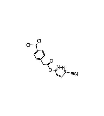 N#Cc1ccc(OC(=O)Cc2ccc(C(Cl)Cl)cc2)nn1